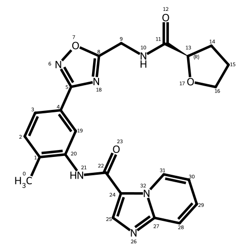 Cc1ccc(-c2noc(CNC(=O)[C@H]3CCCO3)n2)cc1NC(=O)c1cnc2ccccn12